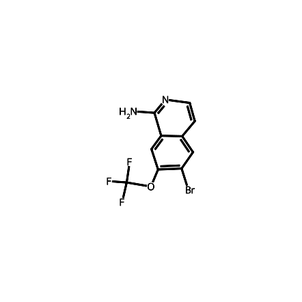 Nc1nccc2cc(Br)c(OC(F)(F)F)cc12